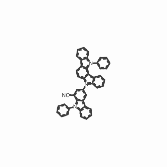 N#Cc1cc(-n2c3ccccc3c3c2ccc2c4ccccc4n(-c4ccccc4)c23)cc2c3ccccc3n(-c3ccccc3)c12